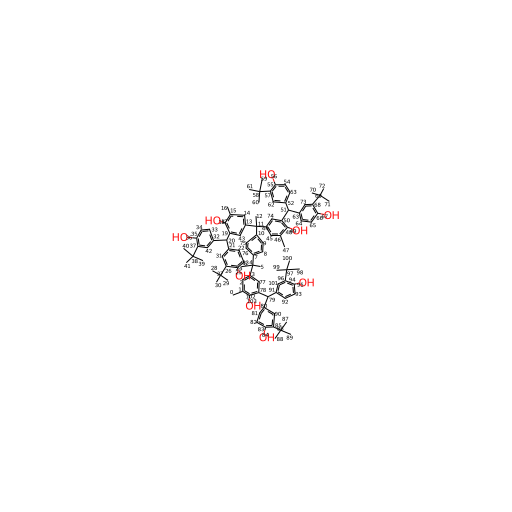 Cc1cc(C(C)(C)c2ccc(C(C)(c3cc(C)c(O)c(C(c4ccc(O)c(C(C)(C)C)c4)c4ccc(O)c(C(C)(C)C)c4)c3)c3cc(C)c(O)c(C(c4ccc(O)c(C(C)(C)C)c4)c4ccc(O)c(C(C)(C)C)c4)c3)cc2)cc(C(c2ccc(O)c(C(C)(C)C)c2)c2ccc(O)c(C(C)(C)C)c2)c1O